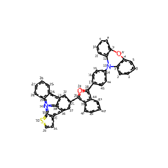 c1ccc2c(c1)Oc1ccccc1N2c1ccc(-c2oc(-c3cc4c5ccccc5n5c6sccc6c(c3)c45)c3ccccc23)cc1